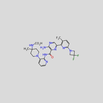 CC1(NC(=O)O)CCN(c2cccnc2NC(=O)c2nc(-c3nc(N4CC(F)(F)C4)ccc3C(F)(F)F)cnc2N)CC1